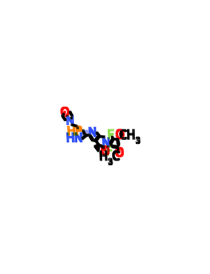 COc1cc(OC)c(F)c(N2Cc3cnc(/C(C=N)=C/PCCN4CCOCC4)cc3C3(CC3)C2=O)c1F